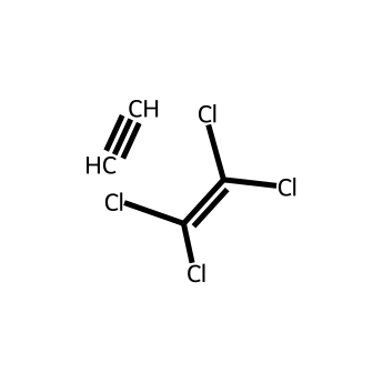 C#C.ClC(Cl)=C(Cl)Cl